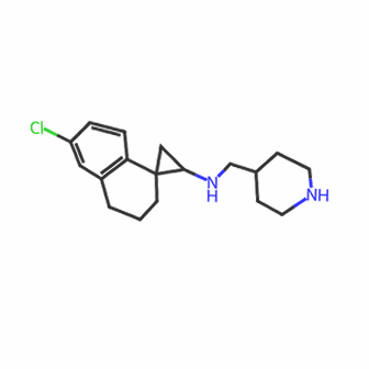 Clc1ccc2c(c1)CCCC21CC1NCC1CCNCC1